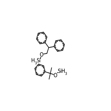 CC(C)(O[SiH3])c1ccccc1.[SiH3]OCC(c1ccccc1)c1ccccc1